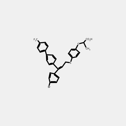 CC(Oc1ccc(SCC=C(c2ccc(Br)cc2)c2ccc(-c3ccc(C(F)(F)F)cc3)cc2)cc1)C(=O)O